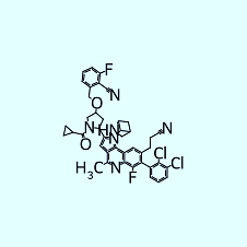 Cc1nc2c(F)c(-c3cccc(Cl)c3Cl)c(CCC#N)cc2c2c1cc(C1CC(OCc3cccc(F)c3C#N)CN1C(=O)C1CC1)n2C1C2CNC1C2